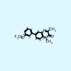 Cc1nc2cc(-c3cccc(OC(F)(F)F)c3)ccc2n(C)c1=O